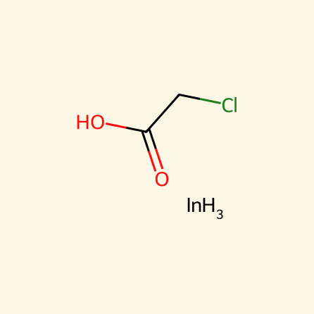 O=C(O)CCl.[InH3]